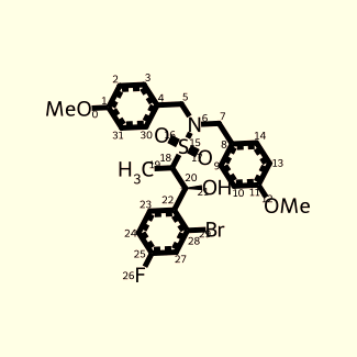 COc1ccc(CN(Cc2ccc(OC)cc2)S(=O)(=O)C(C)[C@@H](O)c2ccc(F)cc2Br)cc1